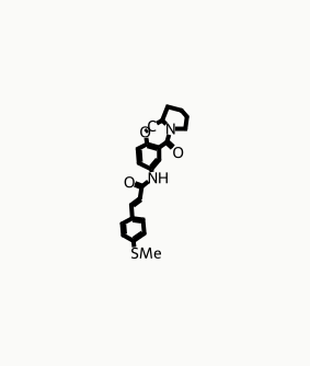 CSc1ccc(/C=C/C(=O)Nc2ccc3c(c2)C(=O)N2CCCCC2CO3)cc1